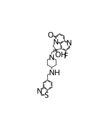 O=c1ccc2ncc(F)c3c2n1C[C@@]3(O)CN1CCC(NCc2ccc3scnc3c2)CC1